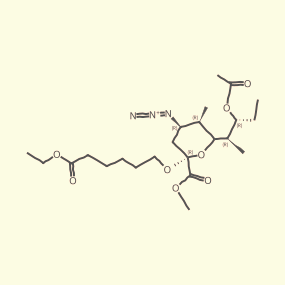 CCOC(=O)CCCCCO[C@]1(C(=O)OC)C[C@@H](N=[N+]=[N-])[C@@H](C)C([C@H](C)[C@@H](CC)OC(C)=O)O1